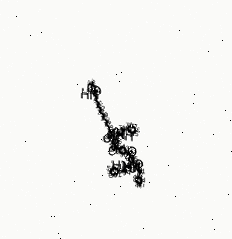 CC(C)(C)OC(=O)NCCCCCCCCCCCCNC(=O)[C@@H]1CN(C(=O)c2ccc(C(=O)N3C[C@@H](C(=O)N[C@H]4C[C@@H]4c4ccccc4)[C@H](C(=O)N[C@H]4C[C@@H]4c4ccccc4)C3)cc2)C[C@H]1C(=O)N[C@H]1C[C@@H]1c1ccccc1